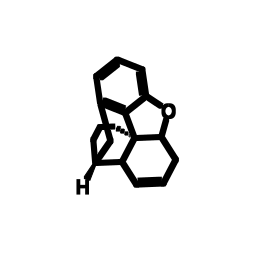 C1=CC2[C@@H]3CCC[C@@]24c2c(cccc2OC4C1)C3